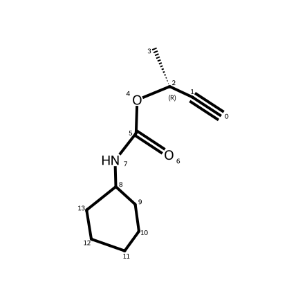 C#C[C@@H](C)OC(=O)NC1CCCCC1